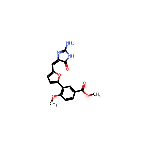 COC(=O)c1ccc(OC)c(-c2ccc(C=C3N=C(N)NC3=O)o2)c1